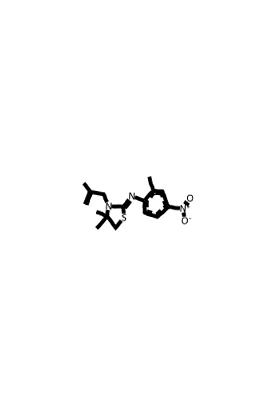 C=C(C)CN1/C(=N/c2ccc([N+](=O)[O-])cc2C)SCC1(C)C